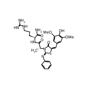 COc1cc(C=C2SC(=Nc3ccccc3)N([C@H](C)C(=O)N[C@@H](CCCNC(=N)N)C(N)=O)C2=O)cc(OC)c1O